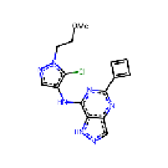 COCCn1ncc(Nc2nc(C3=CC=C3)nc3cn[nH]c23)c1Cl